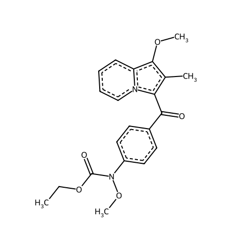 CCOC(=O)N(OC)c1ccc(C(=O)c2c(C)c(OC)c3ccccn23)cc1